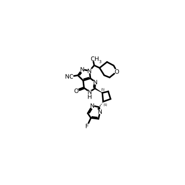 CC(C1CCOCC1)n1nc(C#N)c2c(=O)[nH]c([C@H]3CC[C@@H]3c3ncc(F)cn3)nc21